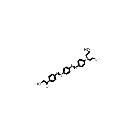 O=C(CO)c1ccc(N=Nc2ccc(N=Nc3ccc(N(CCO)CCO)cc3)cc2)cc1